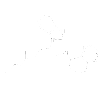 CC(C)CCNCCCn1c(CN(C)C2CCCc3cccnc32)nc2ccccc21